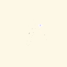 CC[SiH](CC)C1C2CCC(C2)C1(C(=O)[NH][Ti+2])C1=C(C)C(C)=C(C)C1C.[Cl-].[Cl-]